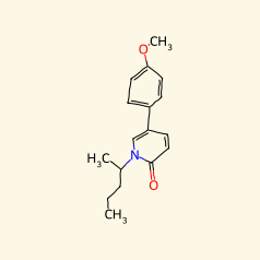 CCCC(C)n1cc(-c2ccc(OC)cc2)ccc1=O